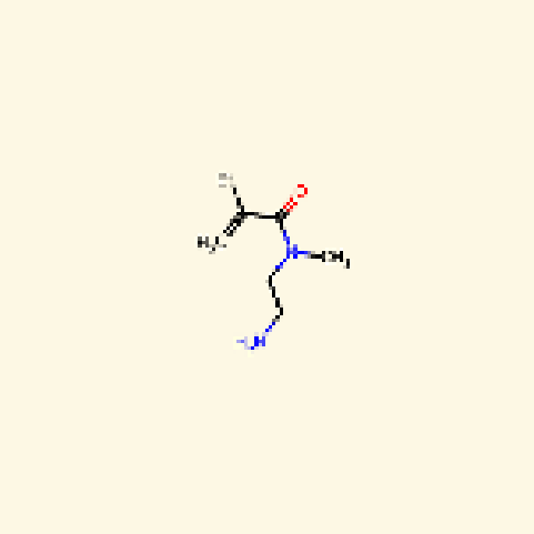 C=C(CC)C(=O)N(C)CCN